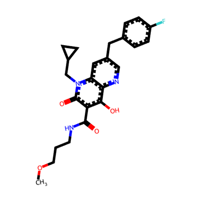 COCCCNC(=O)c1c(O)c2ncc(Cc3ccc(F)cc3)cc2n(CC2CC2)c1=O